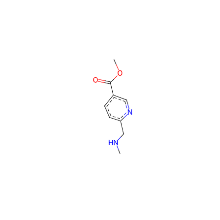 CNCc1ccc(C(=O)OC)cn1